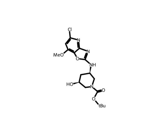 COc1cc(Cl)nc2nc(N[C@@H]3C[C@H](O)CN(C(=O)OC(C)(C)C)C3)oc12